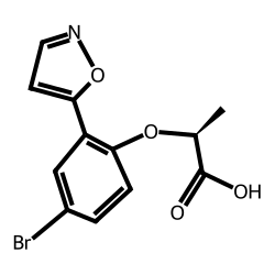 C[C@H](Oc1ccc(Br)cc1-c1ccno1)C(=O)O